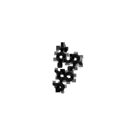 Cc1cc(-c2ccnn2C)c2cccc(OCc3c(C)ccnc3Cn3cc(C(F)(F)F)ccc3=O)c2n1